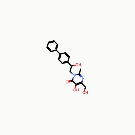 Cc1nc(CO)c(O)c(=O)n1CC(O)c1ccc(-c2ccccc2)cc1